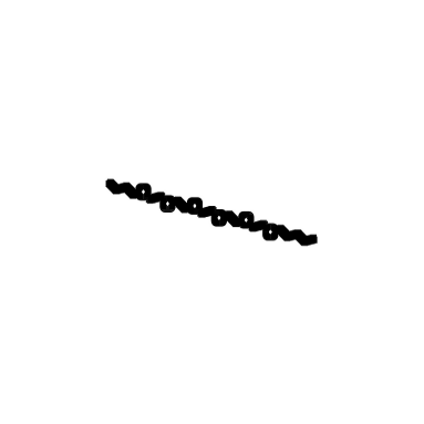 CCCCCOCCOCCOCCOCCOCCOCCCC